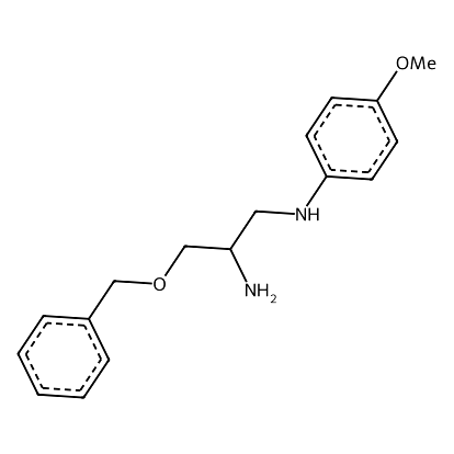 COc1ccc(NCC(N)COCc2ccccc2)cc1